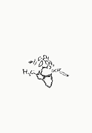 COc1cccc2cc(C)n(C(=O)OC(C)(C)C)c12